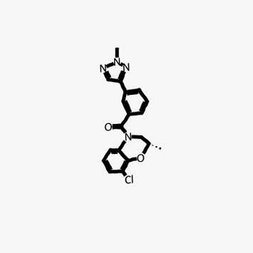 C[C@H]1CN(C(=O)c2cccc(-c3cnn(C)n3)c2)c2cccc(Cl)c2O1